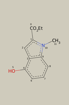 CCOC(=O)c1cc2c(O)cccc2n1C